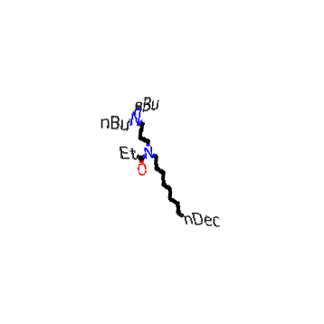 CCCCCCCCCCCCCCCCCCN(CCCN(CCCC)CCCC)C(=O)CC